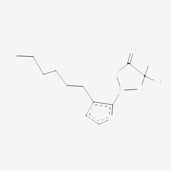 C=C1OB(c2sccc2CCCCCC)OC1(C)C